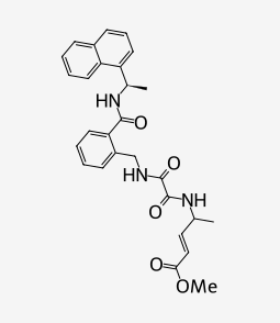 COC(=O)/C=C/C(C)NC(=O)C(=O)NCc1ccccc1C(=O)N[C@H](C)c1cccc2ccccc12